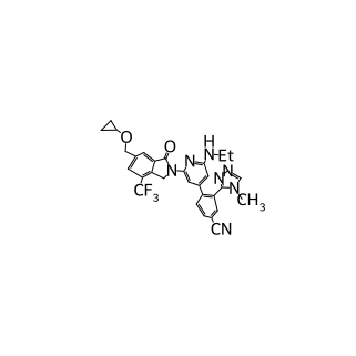 CCNc1cc(-c2ccc(C#N)cc2-c2nncn2C)cc(N2Cc3c(cc(COC4CC4)cc3C(F)(F)F)C2=O)n1